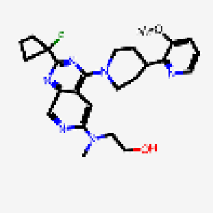 COc1cccnc1C1CCN(c2nc(C3(F)CCC3)nc3cnc(N(C)CCO)cc23)CC1